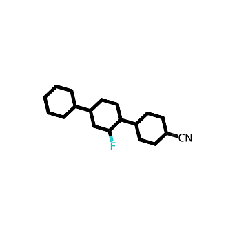 N#CC1CCC(C2CCC(C3CCCCC3)CC2F)CC1